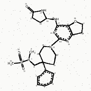 CN(CC1(c2ccccc2)CCN(c2nc3c(c(N[C@H]4CCC(=O)N4)n2)OCC3)CC1)S(C)(=O)=O